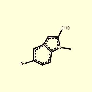 Cn1c(C=O)cc2cc(Br)ccc21